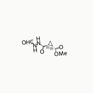 COC(=O)[C@H]1C[C@@H]1C(=O)NNC=O